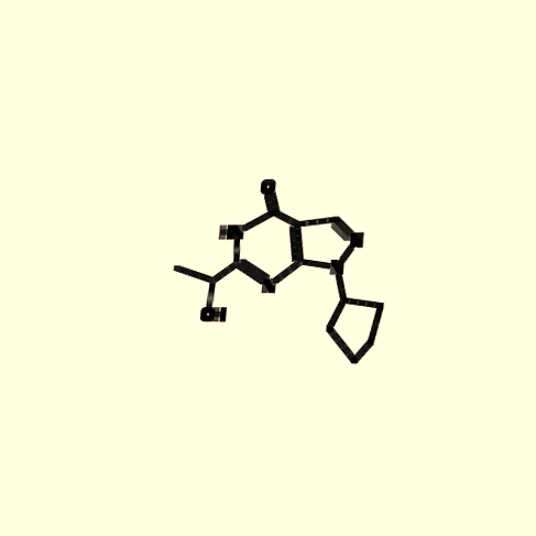 CC(O)c1nc2c(cnn2C2CCCC2)c(=O)[nH]1